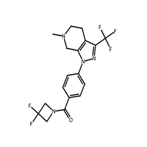 CN1CCc2c(C(F)(F)F)nn(-c3ccc(C(=O)N4CC(F)(F)C4)cc3)c2C1